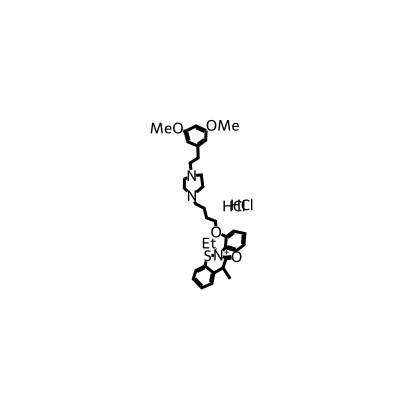 CC[N+]1(c2ccccc2OCCCCN2CCN(CCc3cc(OC)cc(OC)c3)CC2)Sc2ccccc2C(C)C1=O.Cl.Cl